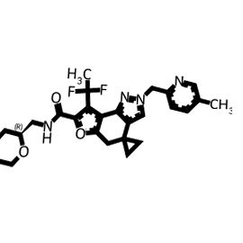 Cc1ccc(Cn2cc3c(n2)-c2c(oc(C(=O)NC[C@@H]4COCCO4)c2C(C)(F)F)CC32CC2)nc1